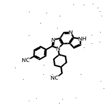 N#CCC1CCC(n2c(-c3ccc(C#N)cc3)nc3cnc4[nH]ccc4c32)CC1